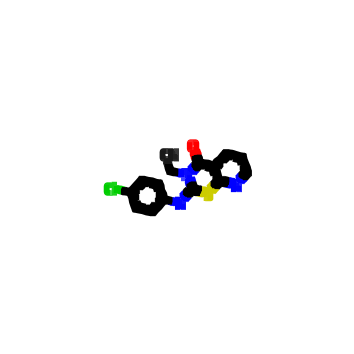 N#CCn1c(=Nc2ccc(Cl)cc2)sc2ncccc2c1=O